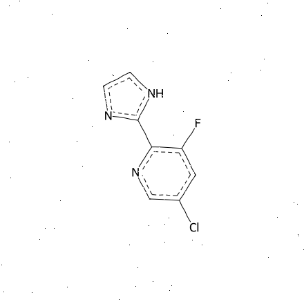 Fc1cc(Cl)cnc1-c1ncc[nH]1